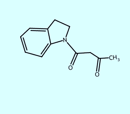 CC(=O)CC(=O)N1CCc2ccccc21